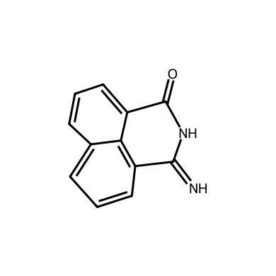 N=C1NC(=O)c2cccc3cccc1c23